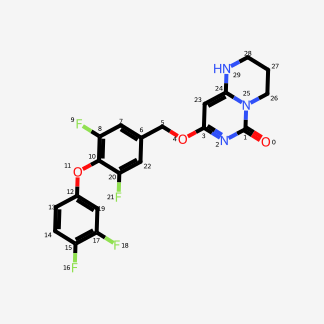 O=c1nc(OCc2cc(F)c(Oc3ccc(F)c(F)c3)c(F)c2)cc2n1CCCN2